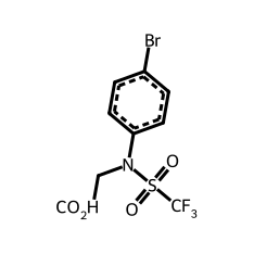 O=C(O)CN(c1ccc(Br)cc1)S(=O)(=O)C(F)(F)F